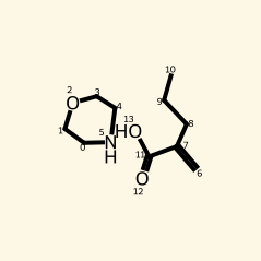 C1COCCN1.C=C(CCC)C(=O)O